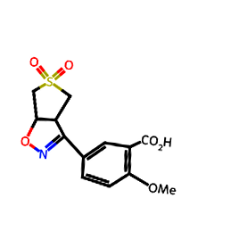 COc1ccc(C2=NOC3CS(=O)(=O)CC23)cc1C(=O)O